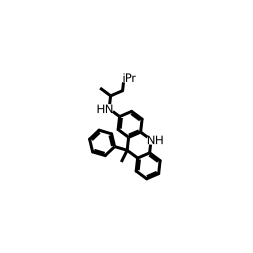 CC(C)CC(C)Nc1ccc2c(c1)C(C)(c1ccccc1)c1ccccc1N2